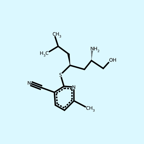 Cc1ccc(C#N)c(S[C@@H](CC(C)C)C[C@H](N)CO)n1